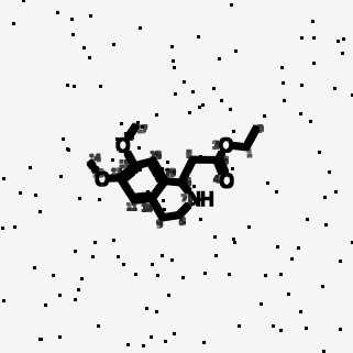 CCOC(=O)CC1NCCc2cc(OC)c(OC)cc21